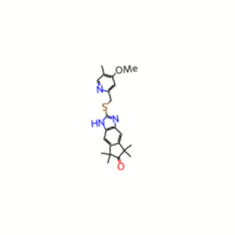 COc1cc(CSc2nc3cc4c(cc3[nH]2)C(C)(C)C(=O)C4(C)C)ncc1C